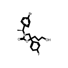 C[C@@H](c1ccc(Br)cc1)N1CC(CCCO)(C2=CCC(F)C=C2)OC1=O